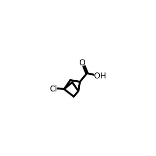 O=C(O)C1CC2(Cl)CC1C2